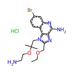 CCOCc1nc2c(N)nc3cc(Br)ccc3c2n1CC(C)(C)OCCN.Cl